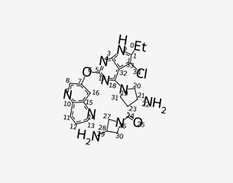 CCc1[nH]c2nc(Oc3cnc4cccnc4c3)nc(N3C[C@H](N)[C@H](C(=O)N4CC(N)C4)C3)c2c1Cl